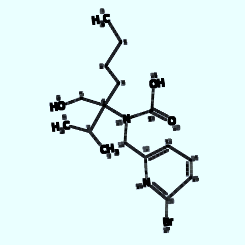 CCCCC(CO)(C(C)C)N(Cc1cccc(Br)n1)C(=O)O